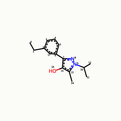 CCc1cccc(-c2nn(C(C)C)c(C)c2O)c1